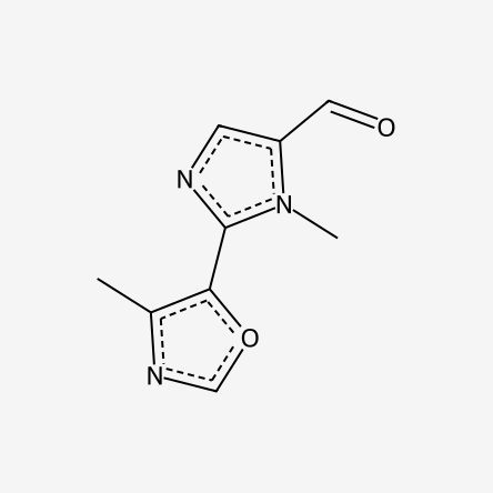 Cc1ncoc1-c1ncc(C=O)n1C